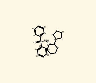 O=P(N[C@H]1CCCCC1N1CCCC1)(c1ccccc1)c1ccccc1